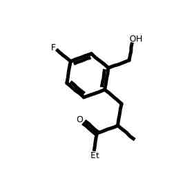 CCC(=O)C(C)Cc1ccc(F)cc1CO